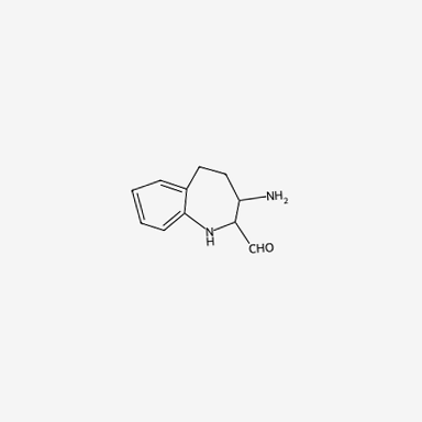 NC1CCc2ccccc2NC1C=O